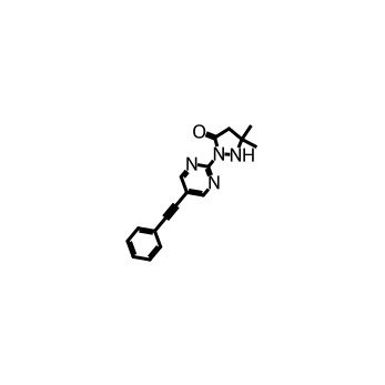 CC1(C)CC(=O)N(c2ncc(C#Cc3ccccc3)cn2)N1